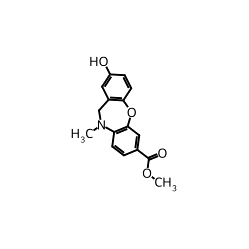 COC(=O)c1ccc2c(c1)Oc1ccc(O)cc1CN2C